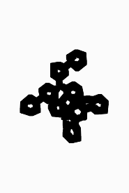 c1ccc(-c2ccc(N(c3cccc(-c4ccccc4)c3)c3cccc4c3-c3ccccc3C43c4ccc5ccccc5c4Oc4c3ccc3ccccc43)cc2)cc1